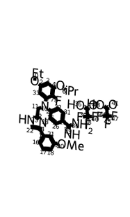 CCOc1cc(OC(C)C)c(F)c(N(Cc2nc(-c3cccc(OC)c3)c[nH]2)c2ccc(C(=N)N)cc2)c1.O=C(O)C(F)(F)F.O=C(O)C(F)(F)F